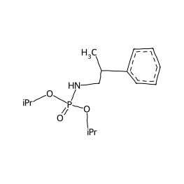 CC(C)OP(=O)(NCC(C)c1ccccc1)OC(C)C